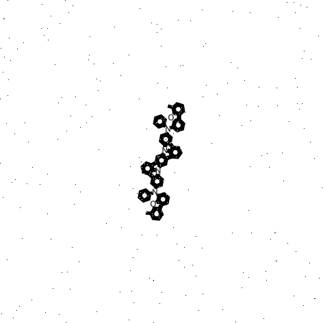 Cc1cccc2c1oc1c(N(c3ccccc3)c3ccc4c(c3)c3cccc5c6cc7c(cc6n4c35)c3cccc4c5cc(N(c6ccccc6)c6cccc8c6oc6c(C)cccc68)ccc5n7c43)cccc12